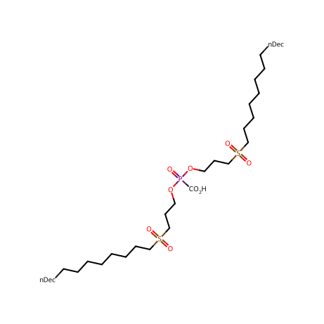 CCCCCCCCCCCCCCCCCCS(=O)(=O)CCCOP(=O)(OCCCS(=O)(=O)CCCCCCCCCCCCCCCCCC)C(=O)O